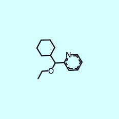 CCOC(c1ccccn1)C1CCCCC1